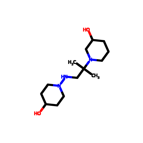 CC(C)(CNN1CCC(O)CC1)N1CCCC(O)C1